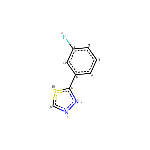 Fc1cccc(-c2nncs2)c1